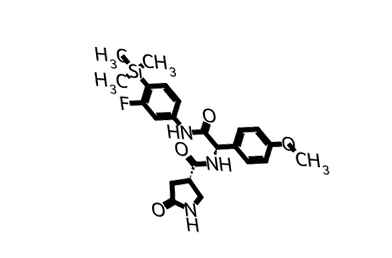 COc1ccc([C@H](NC(=O)[C@@H]2CNC(=O)C2)C(=O)Nc2ccc([Si](C)(C)C)c(F)c2)cc1